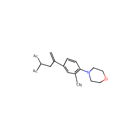 C=C(CC(C(C)=O)C(C)=O)c1ccc(N2CCOCC2)c(C#N)c1